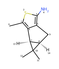 Cc1sc(N)c2c1[C@H]1[C@@H](C2)C1(C)C